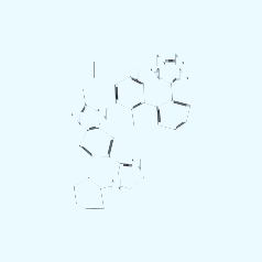 CCCc1nc2ccc(C3=NCCN3C3CCCCC3)cc2n1-c1cccc(-c2ccccc2-c2nnn[nH]2)c1C